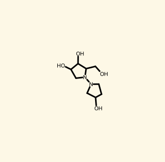 OCC1C(O)C(O)CN1N1CCC(O)C1